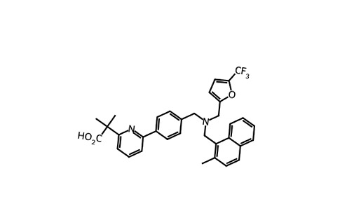 Cc1ccc2ccccc2c1CN(Cc1ccc(-c2cccc(C(C)(C)C(=O)O)n2)cc1)Cc1ccc(C(F)(F)F)o1